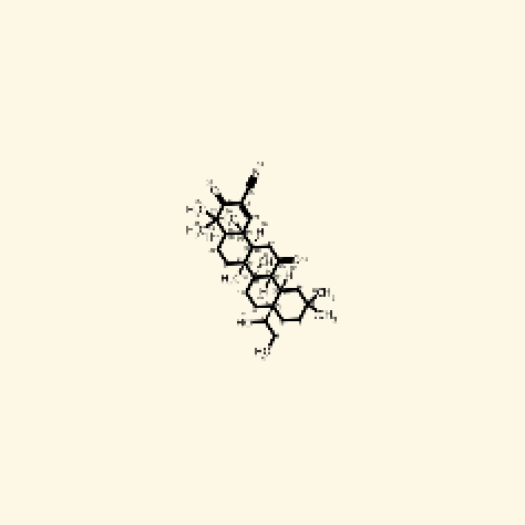 CC1(C)CC[C@]2(C(O)CO)CC[C@]3(C)[C@H](C(=O)C[C@@H]4[C@@]5(C)C=C(C#N)C(=O)C(C)(C)[C@@H]5CC[C@]43C)[C@@H]2C1